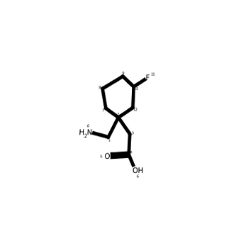 NCC1(CC(=O)O)CCCC(F)C1